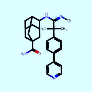 CC(C)(/C(=N\C#N)NC1C2CC3CC1CC(C(N)=O)(C3)C2)c1ccc(-c2ccncc2)cc1